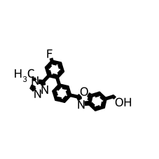 Cn1cnnc1-c1cc(F)ccc1-c1cccc(-c2nc3ccc(CO)cc3o2)c1